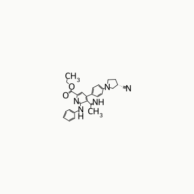 CCOC(=O)c1cc(-c2ccc(N3CC[C@H](C#N)C3)cc2)c(C(C)=N)c(Nc2ccccc2)n1